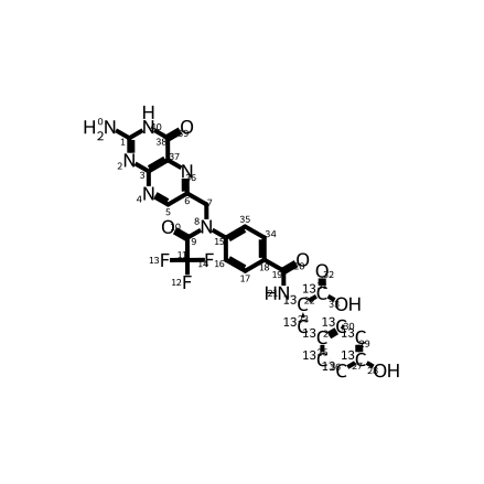 Nc1nc2ncc(CN(C(=O)C(F)(F)F)c3ccc(C(=O)N[13C@@H]([13CH2][13c]4[13cH][13cH][13c](O)[13cH][13cH]4)[13C](=O)O)cc3)nc2c(=O)[nH]1